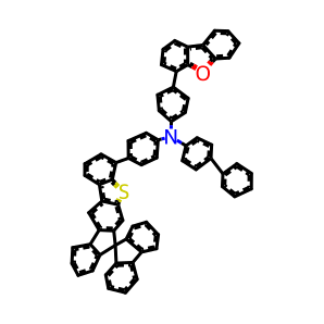 c1ccc(-c2ccc(N(c3ccc(-c4cccc5c4oc4ccccc45)cc3)c3ccc(-c4cccc5c4sc4cc6c(cc45)-c4ccccc4C64c5ccccc5-c5ccccc54)cc3)cc2)cc1